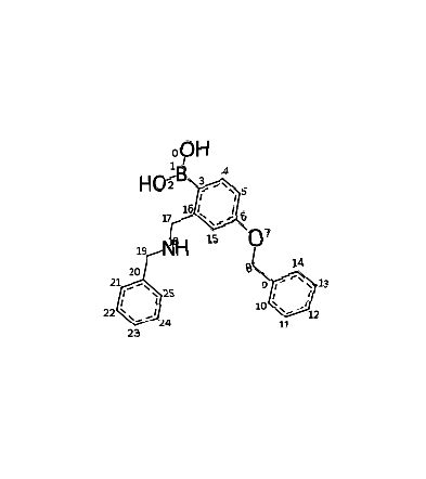 OB(O)c1ccc(OCc2ccccc2)cc1CNCc1ccccc1